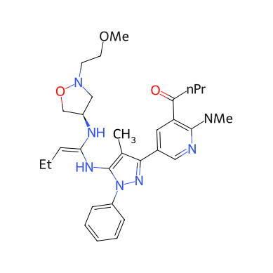 CC/C=C(\Nc1c(C)c(-c2cnc(NC)c(C(=O)CCC)c2)nn1-c1ccccc1)N[C@H]1CON(CCOC)C1